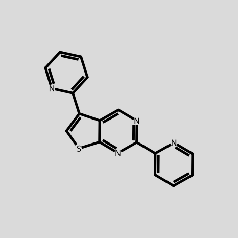 c1ccc(-c2ncc3c(-c4ccccn4)csc3n2)nc1